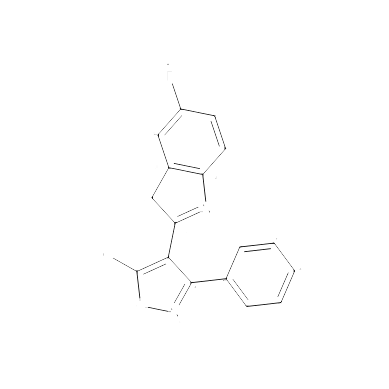 Cc1onc(-c2ccccc2)c1C1=Nc2ccc(F)cc2C1